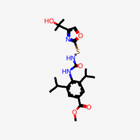 COC(=O)c1cc(C(C)C)c(NC(=O)NSc2nc(C(C)(C)O)co2)c(C(C)C)c1